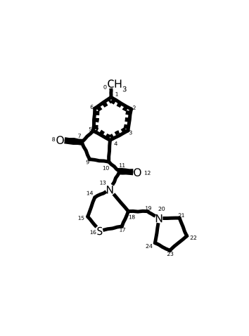 Cc1ccc2c(c1)C(=O)CC2C(=O)N1CCSCC1CN1CCCC1